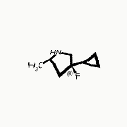 CC1C[C@@](F)(C2CC2)CN1